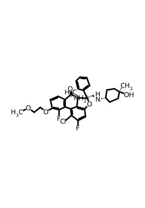 COCCOc1ccc(C(N)=O)c(-c2c(Cl)c(F)cc3c2[C@H](C)[C@@](CN[C@H]2CC[C@](C)(O)CC2)(c2ccccc2)O3)c1F